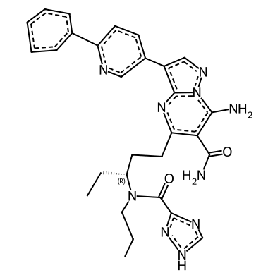 CCCN(C(=O)c1nc[nH]n1)[C@H](CC)CCc1nc2c(-c3ccc(-c4ccccc4)nc3)cnn2c(N)c1C(N)=O